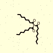 CCCCCCCC(=O)P(C(=O)CCCCCCC)C(=O)CCCCCCC